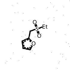 CCS(=O)(=O)Cc1ccco1